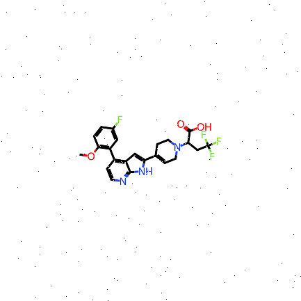 COc1ccc(F)cc1-c1ccnc2[nH]c(C3=CCN(C(CC(F)(F)F)C(=O)O)CC3)cc12